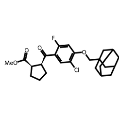 COC(=O)[C@@H]1CCC[C@@H]1C(=O)c1cc(Cl)c(OCC23CC4CC(CC(C4)C2)C3)cc1F